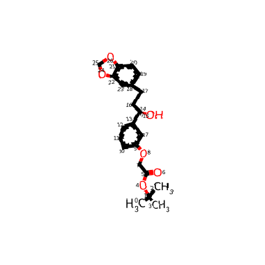 CC(C)(C)OC(=O)COc1cccc([C@H](O)CCc2ccc3c(c2)OCO3)c1